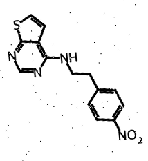 O=[N+]([O-])c1ccc(CCNc2ncnc3sccc23)cc1